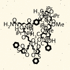 CCC(C)[C@@H](C(CC(=O)N1CCC[C@H]1[C@H](OC)[C@@H](C)C(=O)N[C@H](C)[C@@H](O)c1ccccc1)OC)N(C)C(=O)[C@@H](NC(=O)[C@H](C(C)C)N(C)C(=O)OCc1ccc(NC(=O)[C@H](CCCNC(N)=O)NC(=O)[C@@H](NC(=O)CCC(=O)N(CCN2C(=O)C=C(Sc3ccccc3)C2=O)CCN2C(=O)C=C(Sc3ccccc3)C2=O)C(C)C)cc1)C(C)C